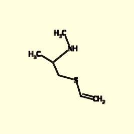 C=CSCC(C)NC